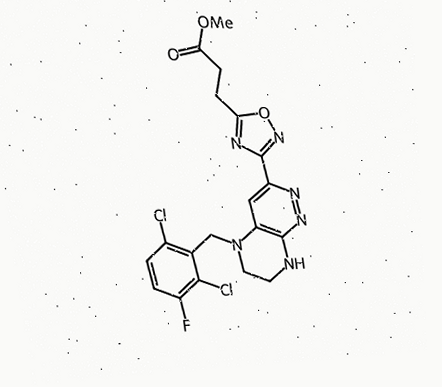 COC(=O)CCc1nc(-c2cc3c(nn2)NCCN3Cc2c(Cl)ccc(F)c2Cl)no1